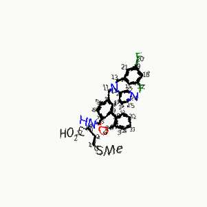 CSCC[C@H](NC(=O)c1ccc(CN(Cc2cc(F)cc(F)c2)c2cccnc2)cc1-c1ccccc1C)C(=O)O